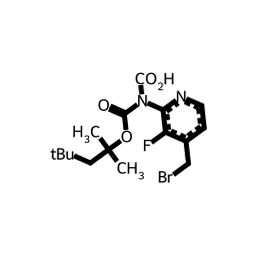 CC(C)(C)CC(C)(C)OC(=O)N(C(=O)O)c1nccc(CBr)c1F